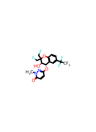 Cn1nc(O[C@H]2c3cc(C(F)(F)C(F)(F)F)ccc3OC(CF)(CF)[C@@H]2O)ccc1=O